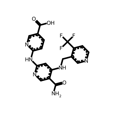 NC(=O)c1cnc(Nc2ccc(C(=O)O)cn2)cc1NCc1cnccc1C(F)(F)F